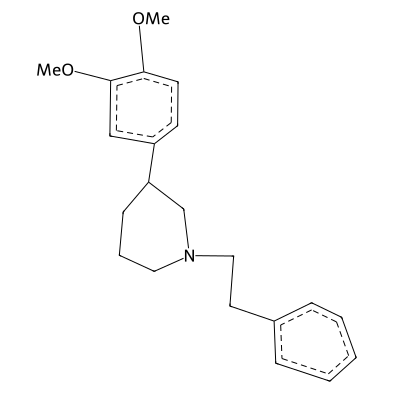 COc1ccc(C2CCCN(CCc3ccccc3)C2)cc1OC